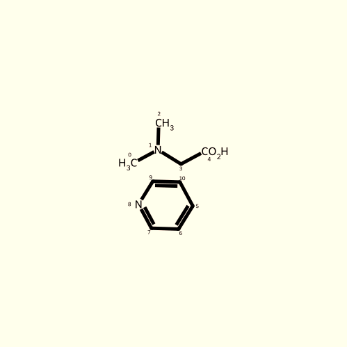 CN(C)CC(=O)O.c1ccncc1